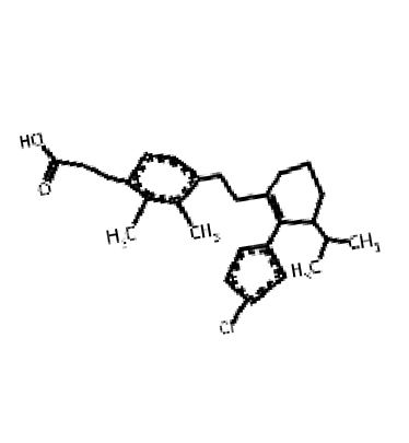 Cc1c(CCC(=O)O)ccc(CCC2=C(c3ccc(Cl)cc3)C(C(C)C)CCC2)c1C